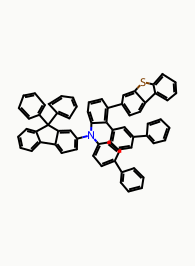 c1ccc(-c2ccc(N(c3ccc4c(c3)C(c3ccccc3)(c3ccccc3)c3ccccc3-4)c3cccc(-c4ccc5c(c4)sc4ccccc45)c3-c3cccc(-c4ccccc4)c3)cc2)cc1